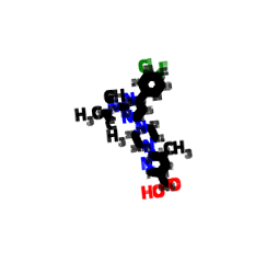 Cc1cc(C(=O)O)cnc1N1CCN(c2cc(-c3ccc(F)c(Cl)c3)nc(N(C)C(C)C)n2)CC1